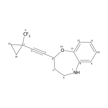 FC(F)(F)C1(C#CC2CCNc3ccccc3O2)CC1